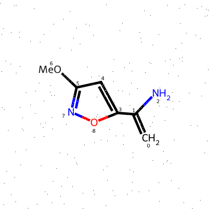 C=C(N)c1cc(OC)no1